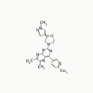 Cc1ccc(-c2nc(N3CCO[C@H](c4cnn(C)c4)C3)nc3nc(C)c(C)nc23)cn1